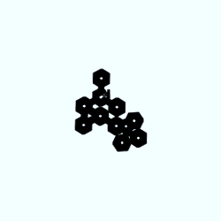 c1ccc(-c2cc(-c3cccc4c5ccccc5c5cc(-c6ccc7c(c6)-c6ccccc6C7(c6ccccc6)c6ccccc6)ccc5c34)cc(-c3ccccc3)n2)cc1